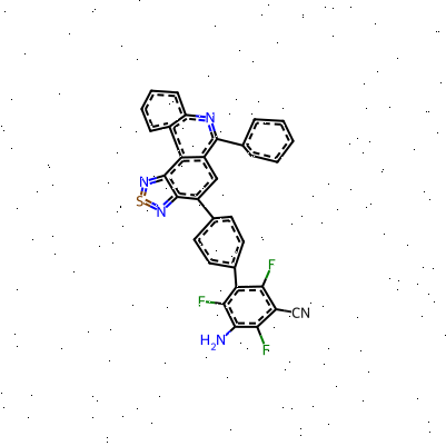 N#Cc1c(F)c(N)c(F)c(-c2ccc(-c3cc4c(-c5ccccc5)nc5ccccc5c4c4nsnc34)cc2)c1F